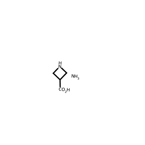 N.O=C(O)C1CNC1